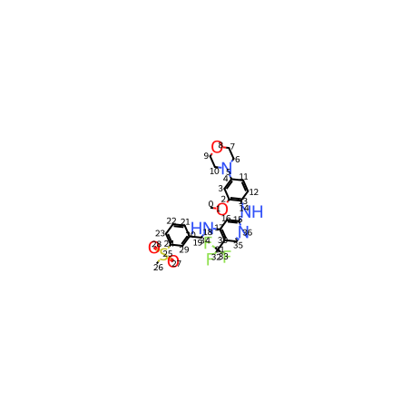 COc1cc(N2CCOCC2)ccc1Nc1cc(NCc2cccc(S(C)(=O)=O)c2)c(C(F)(F)F)cn1